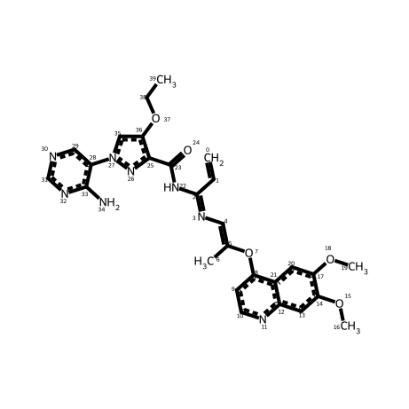 C=C/C(=N\C=C(/C)Oc1ccnc2cc(OC)c(OC)cc12)NC(=O)c1nn(-c2cncnc2N)cc1OCC